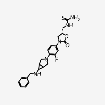 NC(=S)NC[C@H]1CN(c2ccc(N3CC4C(C3)C4NCc3ccccc3)c(F)c2)C(=O)O1